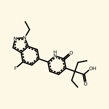 CCn1ncc2c(F)cc(-c3ccc(C(CC)(CC)C(=O)O)c(=O)[nH]3)cc21